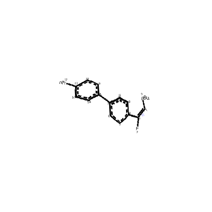 CCCC/C=C(/F)c1ccc(-c2ccc(CCC)cc2)cc1